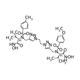 COc1ccc(S(=O)(=O)N(Cc2cn(CCn3cc(CN([C@@H](C(=O)NO)C(C)C)S(=O)(=O)c4ccc(C)cc4)nn3)nn2)[C@@H](C(=O)NO)C(C)C)cc1